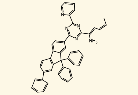 C/C=C\C=C(/N)c1nc(-c2ccc3c(c2)C(c2ccccc2)(c2ccccc2)c2cc(-c4ccccc4)ccc2-3)nc(-c2ccccn2)n1